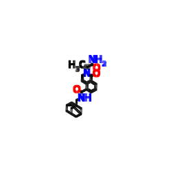 C[C@@H](C(N)=O)n1ccc2c(C(=O)NCC34CC5CC(CC(C5)C3)C4)cccc2c1=O